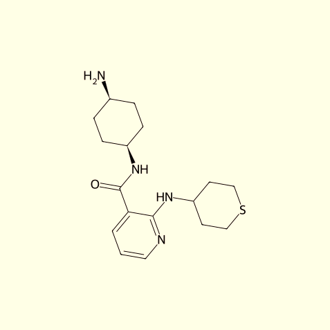 N[C@H]1CC[C@@H](NC(=O)c2cccnc2NC2CCSCC2)CC1